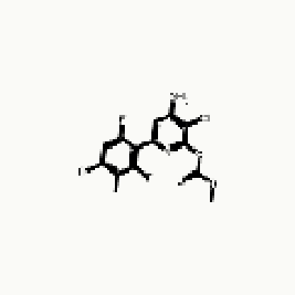 COC(=O)Oc1nc(-c2c(F)cc(Cl)c(C)c2F)cc(N)c1Cl